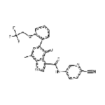 Cc1cn(-c2ccccc2OCC(F)(F)F)c(=O)c2c(C(=O)Nc3ccc(C#N)nc3)cnn12